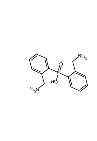 NCc1ccccc1P(=O)(O)c1ccccc1CN